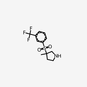 CC1(S(=O)(=O)c2cccc(C(F)(F)F)c2)CCNC1